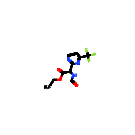 CCOC(=O)C(NC=O)c1nccc(C(F)(F)F)n1